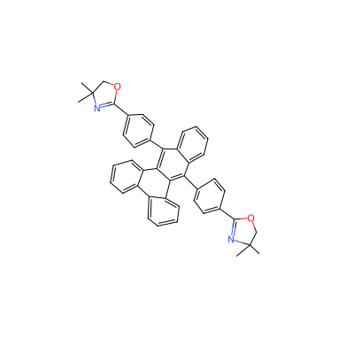 CC1(C)COC(c2ccc(-c3c4ccccc4c(-c4ccc(C5=NC(C)(C)CO5)cc4)c4c5ccccc5c5ccccc5c34)cc2)=N1